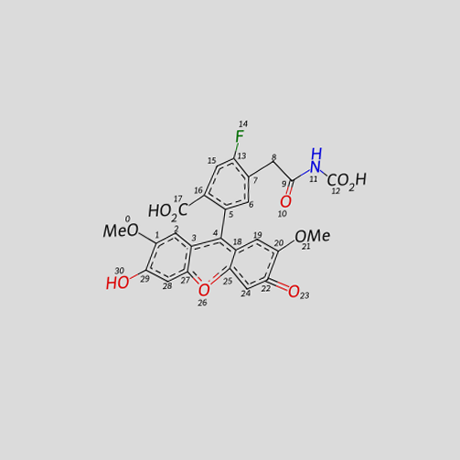 COc1cc2c(-c3cc(CC(=O)NC(=O)O)c(F)cc3C(=O)O)c3cc(OC)c(=O)cc-3oc2cc1O